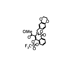 COC(=O)C1=C(OS(=O)(=O)C(F)(F)F)c2ccccc2S(=O)(=O)N1Cc1ccc2c(c1)OCCO2